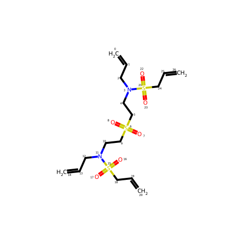 C=CCN(CCS(=O)(=O)CCN(CC=C)S(=O)(=O)CC=C)S(=O)(=O)CC=C